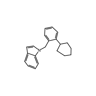 c1ccc(C2CCCCC2)c(Cn2ccc3ccccc32)c1